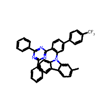 Cc1ccc2c3ccccc3n(-c3cc(-c4ccc(C(F)(F)F)cc4)ccc3-c3nc(-c4ccccc4)nc(-c4ccccc4)n3)c2c1